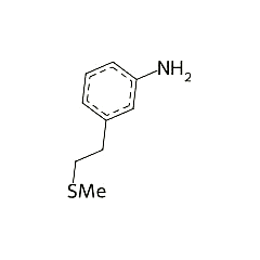 CSCCc1cccc(N)c1